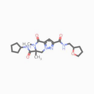 CN1C(=O)c2cc(C(=O)NCC3CCCO3)nn2CC1(C)C(=O)NC1CCCC1